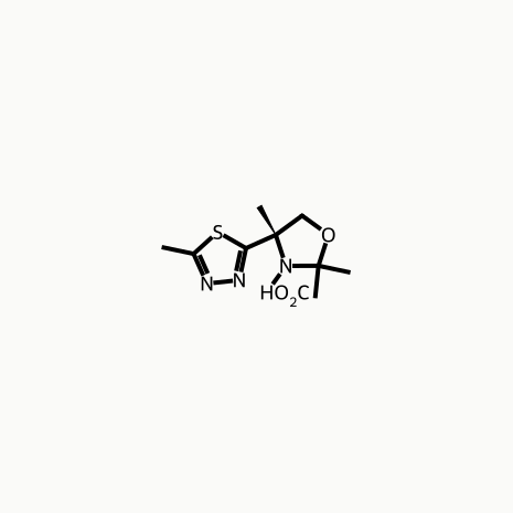 Cc1nnc([C@]2(C)COC(C)(C)N2C(=O)O)s1